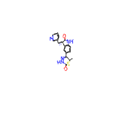 CC1SC(=O)NN=C1c1ccc2c(c1)/C(=C/c1cccnc1)C(=O)N2